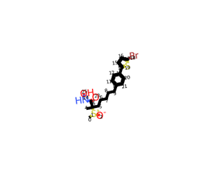 C[S+]([O-])C(C)(CCCCCc1ccc(-c2ccc(Br)s2)cc1)C(=O)NO